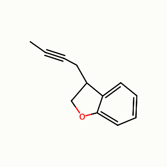 CC#CCC1COc2ccccc21